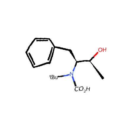 C[C@H](O)[C@H](Cc1ccccc1)N(C(=O)O)C(C)(C)C